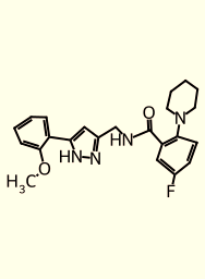 COc1ccccc1-c1cc(CNC(=O)c2cc(F)ccc2N2CCCCC2)n[nH]1